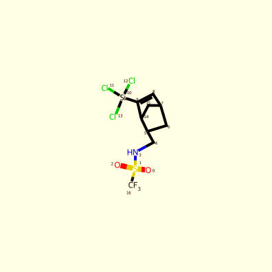 O=S(=O)(NCC1CC2C=C([Si](Cl)(Cl)Cl)C1C2)C(F)(F)F